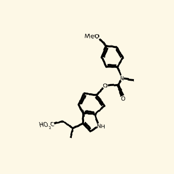 COc1ccc(N(C)C(=O)Oc2ccc3c(C(C)CC(=O)O)c[nH]c3c2)cc1